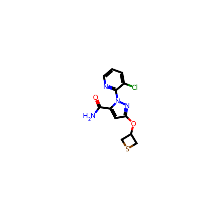 NC(=O)c1cc(OC2CSC2)nn1-c1ncccc1Cl